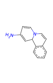 NC1=CC2c3ccccc3C=CN2C=C1